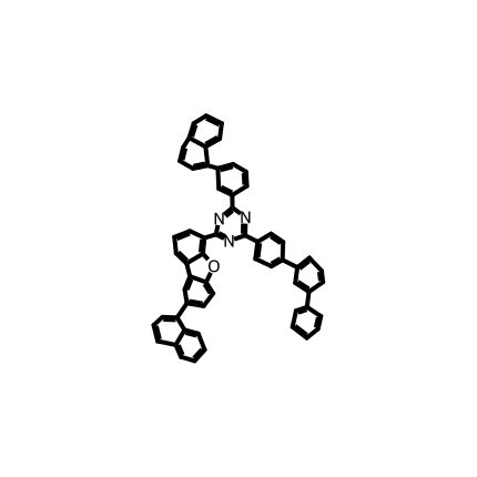 c1ccc(-c2cccc(-c3ccc(-c4nc(-c5cccc(-c6cccc7ccccc67)c5)nc(-c5cccc6c5oc5ccc(-c7cccc8ccccc78)cc56)n4)cc3)c2)cc1